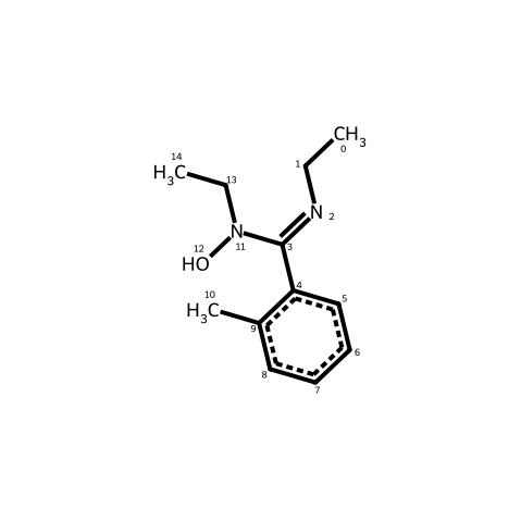 CCN=C(c1ccccc1C)N(O)CC